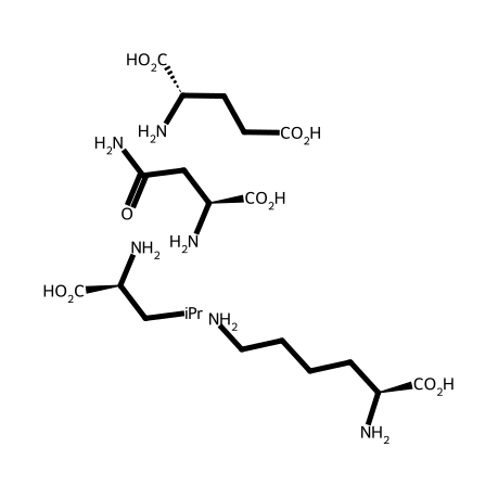 CC(C)C[C@H](N)C(=O)O.NC(=O)C[C@H](N)C(=O)O.NCCCC[C@H](N)C(=O)O.N[C@@H](CCC(=O)O)C(=O)O